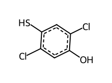 Oc1cc(Cl)c(S)cc1Cl